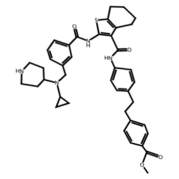 COC(=O)c1ccc(CCc2ccc(NC(=O)c3c(NC(=O)c4cccc(CN(C5CCNCC5)C5CC5)c4)sc4c3CCCC4)cc2)cc1